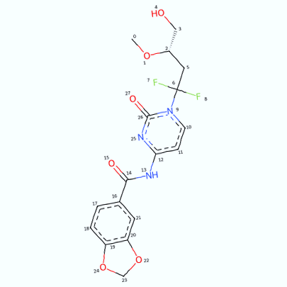 CO[C@H](CO)CC(F)(F)n1ccc(NC(=O)c2ccc3c(c2)OCO3)nc1=O